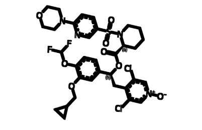 O=C(O[C@@H](Cc1c(Cl)c[n+]([O-])cc1Cl)c1ccc(OC(F)F)c(OCC2CC2)c1)[C@@H]1CCCCN1S(=O)(=O)c1ccc(N2CCOCC2)nc1